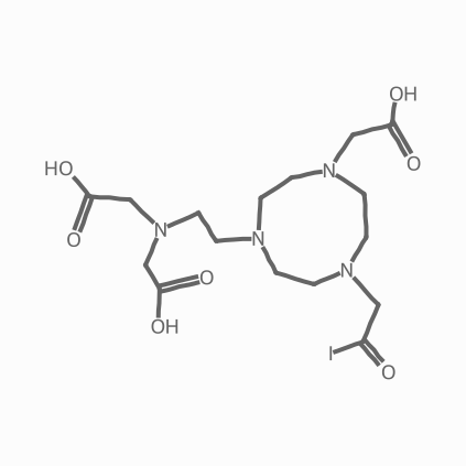 O=C(O)CN1CCN(CCN(CC(=O)O)CC(=O)O)CCN(CC(=O)I)CC1